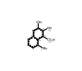 CC(C)(C)c1cccc2cc(O)c(O)c(C(=O)O)c12